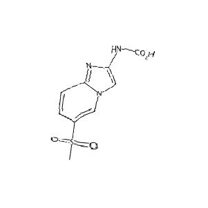 CS(=O)(=O)c1ccc2nc(NC(=O)O)cn2c1